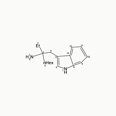 CCCCCCC(N)(CC)Cc1c[nH]c2ccccc12